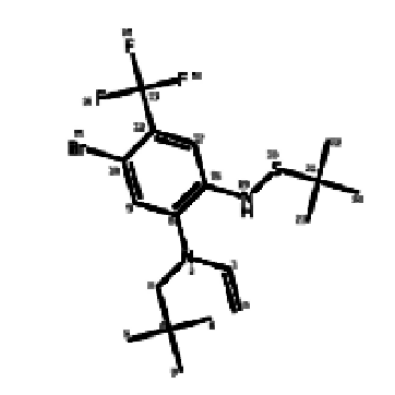 C=CN(CC(C)(C)C)c1cc(Br)c(C(F)(F)F)cc1NSC(C)(C)C